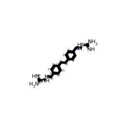 N=C(N)N/N=C/c1ccc(CCc2ccc(/C=N/NC(=N)N)cc2)cc1